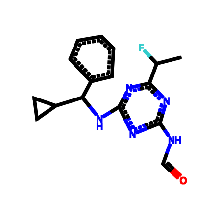 CC(F)c1nc(NC=O)nc(NC(c2ccccc2)C2CC2)n1